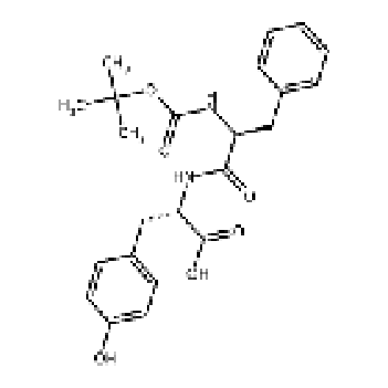 CC(C)(C)OC(=O)N[C@@H](Cc1ccccc1)C(=O)N[C@@H](Cc1ccc(O)cc1)C(=O)O